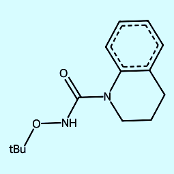 CC(C)(C)ONC(=O)N1CCCc2ccccc21